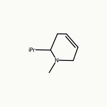 CC(C)C1CC=CCN1C